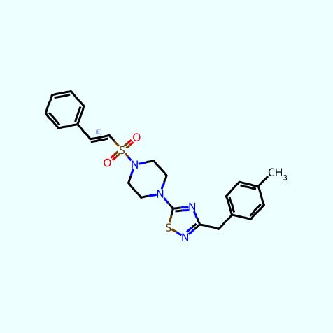 Cc1ccc(Cc2nsc(N3CCN(S(=O)(=O)/C=C/c4ccccc4)CC3)n2)cc1